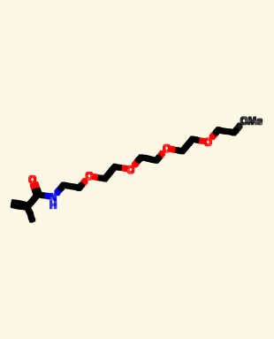 C=C(C)C(=O)NCCOCCOCCOCCOCCOC